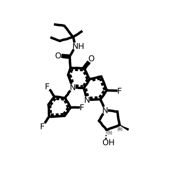 CCC(C)(CC)NC(=O)c1cn(-c2c(F)cc(F)cc2F)c2nc(N3C[C@@H](C)[C@H](O)C3)c(F)cc2c1=O